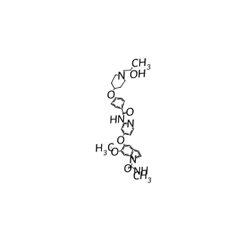 CNC(=O)n1ccc2cc(Oc3ccnc(NC(=O)c4ccc(OC5CCN(C[C@@H](C)O)CC5)cc4)c3)c(OC)cc21